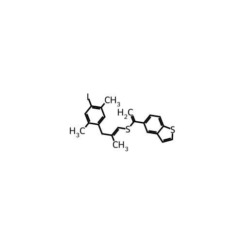 C=C(S/C=C(\C)Cc1cc(C)c(I)cc1C)c1ccc2sccc2c1